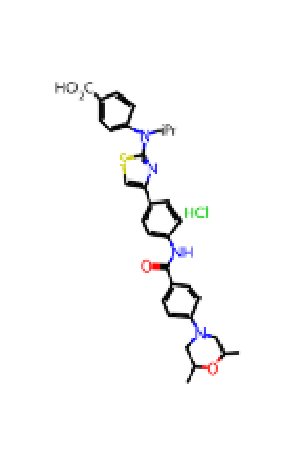 CC1CN(c2ccc(C(=O)Nc3ccc(-c4csc(N(c5ccc(C(=O)O)cc5)C(C)C)n4)cc3)cc2)CC(C)O1.Cl